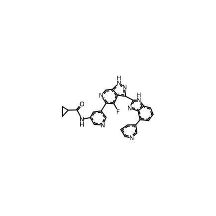 O=C(Nc1cncc(-c2ncc3[nH]nc(-c4nc5c(-c6cccnc6)cccc5[nH]4)c3c2F)c1)C1CC1